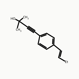 CCC=Cc1ccc(C#CC(C)(C)O)cc1